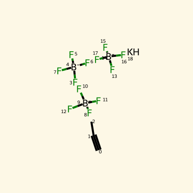 C#CC.F[B-](F)(F)F.F[B-](F)(F)F.F[B-](F)(F)F.[KH]